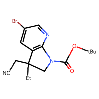 CCC1(CC#N)CN(C(=O)OC(C)(C)C)c2ncc(Br)cc21